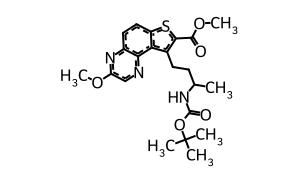 COC(=O)c1sc2ccc3nc(OC)cnc3c2c1CCC(C)NC(=O)OC(C)(C)C